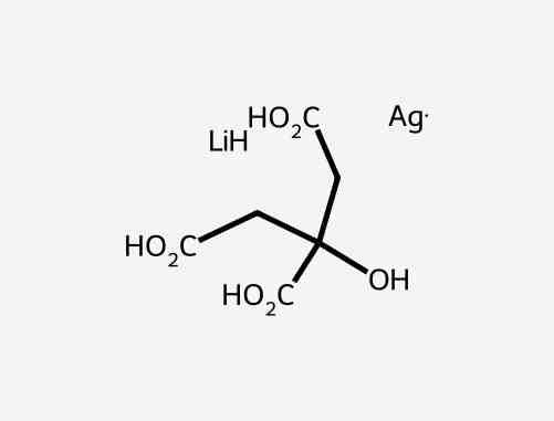 O=C(O)CC(O)(CC(=O)O)C(=O)O.[Ag].[LiH]